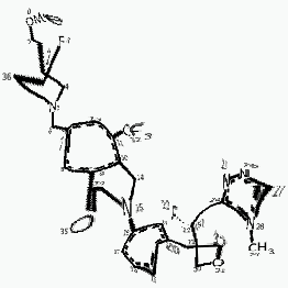 COCC1(F)CN(Cc2cc3c(c(C(F)(F)F)c2)CN(c2cccc(C4([C@H](F)c5nncn5C)COC4)c2)C3=O)C1